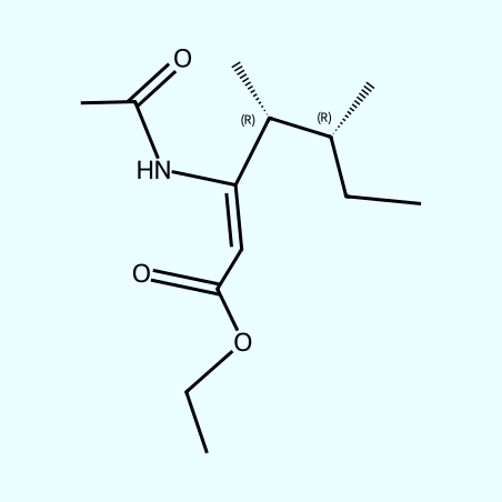 CCOC(=O)C=C(NC(C)=O)[C@H](C)[C@H](C)CC